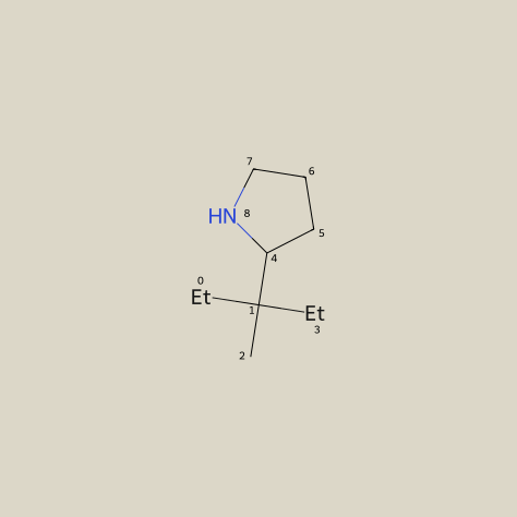 CCC(C)(CC)C1CCCN1